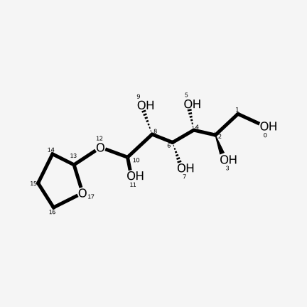 OC[C@@H](O)[C@@H](O)[C@H](O)[C@@H](O)C(O)OC1CCCO1